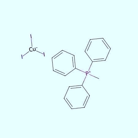 C[P+](c1ccccc1)(c1ccccc1)c1ccccc1.[I][Cu-]([I])[I]